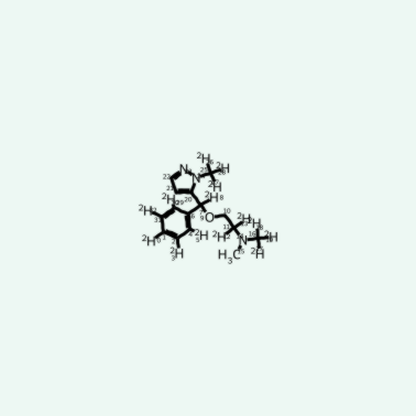 [2H]c1c([2H])c([2H])c(C([2H])(OCC([2H])([2H])N(C)C([2H])([2H])[2H])c2ccnn2C([2H])([2H])[2H])c([2H])c1[2H]